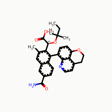 CCC(C)(C)O[C@H](C(=O)O)c1c(C)cc2cc(C(N)=O)ccc2c1-c1ccc2c3c(ccnc13)CCO2